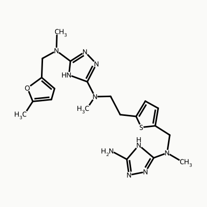 Cc1ccc(CN(C)c2nnc(N(C)CCc3ccc(CN(C)c4nnc(N)[nH]4)s3)[nH]2)o1